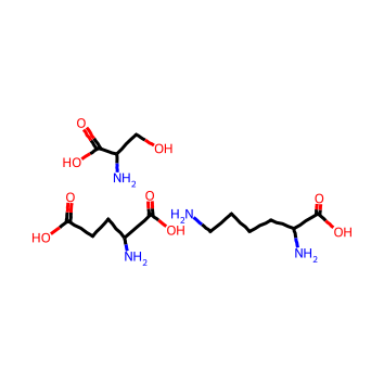 NC(CCC(=O)O)C(=O)O.NC(CO)C(=O)O.NCCCCC(N)C(=O)O